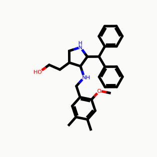 COc1cc(C)c(C)cc1CNC1C(CCO)CNC1C(c1ccccc1)c1ccccc1